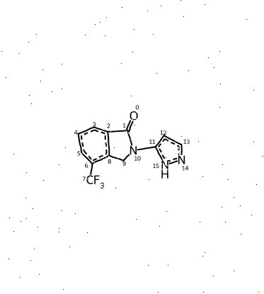 O=C1c2cccc(C(F)(F)F)c2CN1c1ccn[nH]1